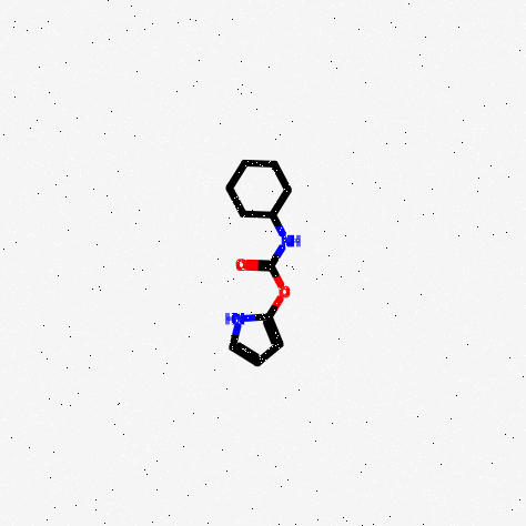 O=C(NC1CCCCC1)Oc1ccc[nH]1